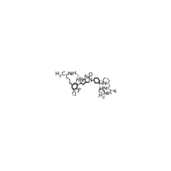 CC(=N)N[C@H](CC1CC1)C[C@@H]1CCC[C@@H](c2ccc(-n3cc4cc(-c5cc(CCC[C@H](C)N)cc(Cl)c5F)[nH]c4nc3=O)cc2)N1